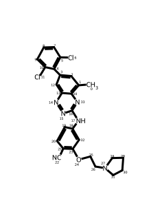 Cc1cc(-c2c(Cl)cccc2Cl)cc2nnc(Nc3ccc(C#N)c(OCCN4CCCC4)c3)nc12